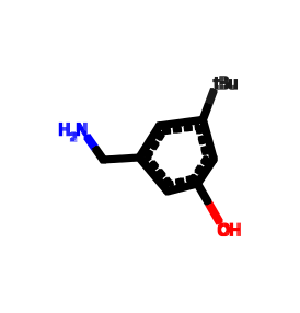 CC(C)(C)c1cc(O)cc(CN)c1